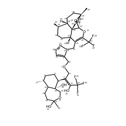 C[C@@H]1CC[C@@H](/C(COCc2cnnn2CC2=C(C(F)(F)F)O[C@@H]3O[C@]4(C)CC[C@H]5[C@H](C)CC[C@@H]2[C@@]35OO4)=C(\O)C(F)(F)F)[C@@]2(O)COC(C)(O)CCC12